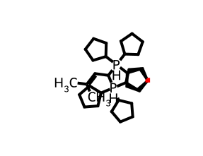 CC(C)=CC([PH](C1CCCC1)(C1CCCC1)C1CCCC1)[PH](C1CCCC1)(C1CCCC1)C1CCCC1